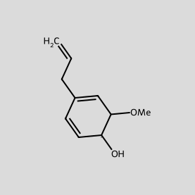 C=CCC1=CC(OC)[C](O)C=C1